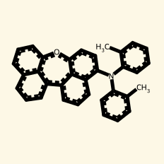 Cc1ccccc1N(c1ccccc1C)c1ccc2oc3cccc4cccc(c5cccc1c25)c43